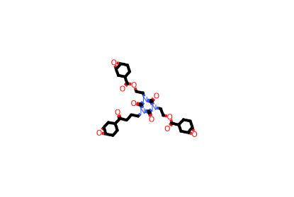 O=C(CCCn1c(=O)n(CCOC(=O)C2CCC3OC3C2)c(=O)n(CCOC(=O)C2CCC3OC3C2)c1=O)C1CCC2OC2C1